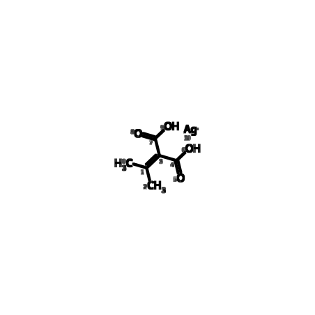 CC(C)=C(C(=O)O)C(=O)O.[Ag]